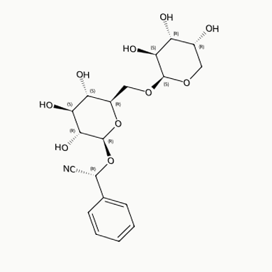 N#C[C@H](O[C@@H]1O[C@H](CO[C@@H]2OC[C@@H](O)[C@@H](O)[C@@H]2O)[C@@H](O)[C@H](O)[C@H]1O)c1ccccc1